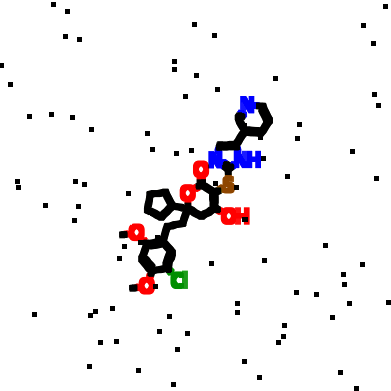 COc1cc(OC)c(CCC2(C3CCCC3)CC(O)=C(Sc3ncc(-c4cccnc4)[nH]3)C(=O)O2)cc1Cl